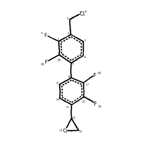 Fc1c(CCl)ccc(-c2ccc(C3CO3)c(F)c2F)c1F